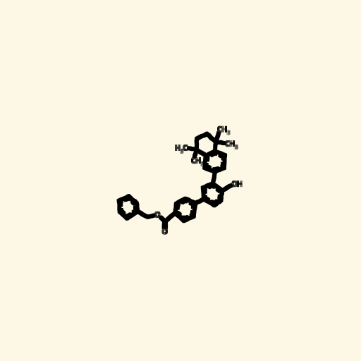 CC1(C)CCC(C)(C)c2cc(-c3cc(-c4ccc(C(=O)OCc5ccccc5)cc4)ccc3O)ccc21